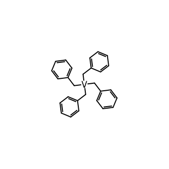 c1ccc([CH2][V]([CH2]c2ccccc2)([CH2]c2ccccc2)[CH2]c2ccccc2)cc1